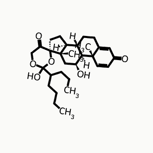 CCCCC(CCC)C1(O)OCC(=O)[C@]2(CC[C@H]3[C@@H]4CCC5=CC(=O)C=C[C@]5(C)[C@H]4[C@@H](O)C[C@@]32C)O1